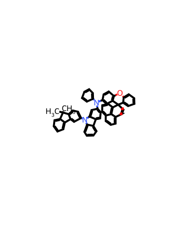 CC1(C)c2ccccc2-c2cc(-n3c4ccccc4c4ccc(N(c5ccccc5)c5ccc6c(c5)C5(c7ccccc7O6)c6ccccc6-c6cccc7cccc5c67)cc43)ccc21